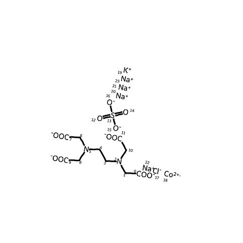 O=C([O-])CN(CCN(CC(=O)[O-])CC(=O)[O-])CC(=O)[O-].O=S(=O)([O-])[O-].[Cl-].[Co+2].[K+].[Na+].[Na+].[Na+].[Na+]